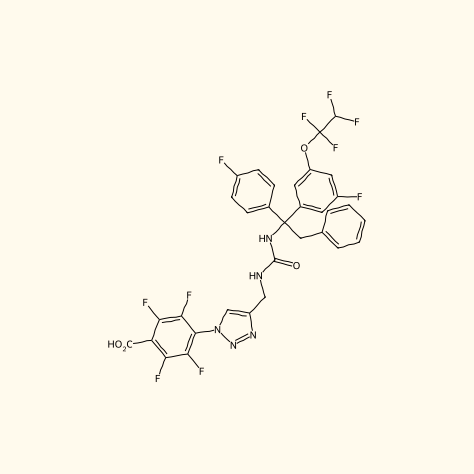 O=C(NCc1cn(-c2c(F)c(F)c(C(=O)O)c(F)c2F)nn1)NC(Cc1ccccc1)(c1ccc(F)cc1)c1cc(F)cc(OC(F)(F)C(F)F)c1